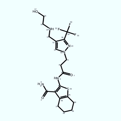 NC(=O)c1c(NC(=O)CCn2cc(CNCCO)c(C(F)(F)F)n2)sc2c1CCCC2